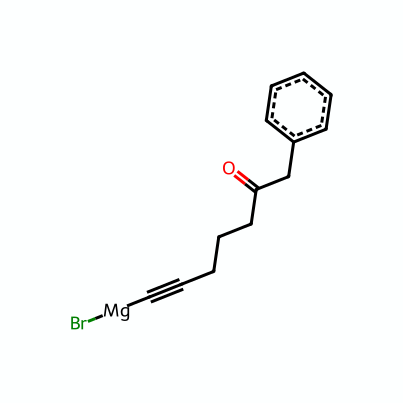 O=C(CCCC#[C][Mg][Br])Cc1ccccc1